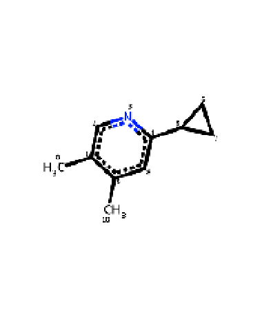 Cc1cnc(C2CC2)cc1C